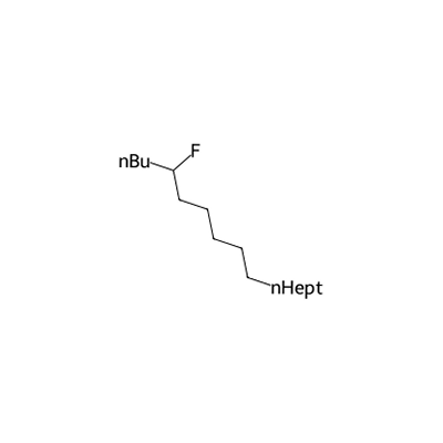 CCCCCCCCCCCCC(F)CCCC